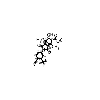 COC(=O)[C@@H]1[C@@H](O)C2(C)OC1(C)[C@@H]1C(=O)N(c3ccc(C#N)c(C(F)(F)F)c3)C(=O)[C@@H]12